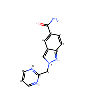 NC(=O)c1ccc2nn(Cc3ncccn3)cc2c1